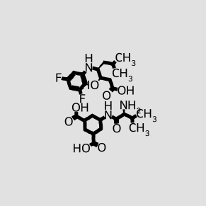 CC(C)C[C@H](Nc1cc(F)cc(F)c1)[C@@H](O)CC(=O)O.CC(C)[C@H](N)C(=O)NC1CC(C(=O)O)CC(C(=O)O)C1